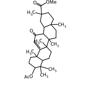 COC(=O)C1(C)CCC2(C)CCC3(C)C(C(=O)C=C4C5(C)CCC(OC(C)=O)C(C)(C)C5CCC43C)C2C1